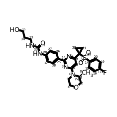 C[C@H]1COCCN1c1cc(C2(S(=O)(=O)c3ccc(F)cc3)CC2)nc(-c2ccc(NC(=O)NCCCO)cc2)n1